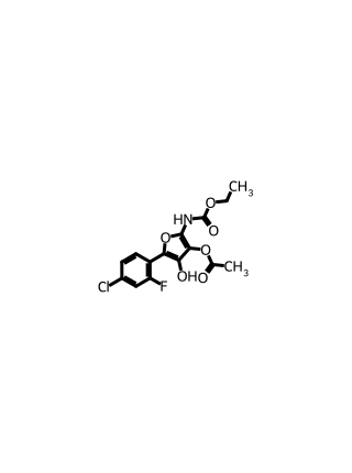 CCOC(=O)Nc1oc(-c2ccc(Cl)cc2F)c(O)c1OC(C)=O